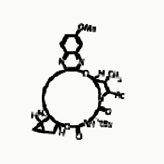 COc1ccc2nc3c(nc2c1)O[C@H]1CN(C(=O)[C@H](C(C)(C)C)NC(=O)O[C@@H]2CC4C[C@@H]4[C@H]2CCCCC3)[C@H](C(C)=O)[C@@H]1C